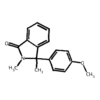 COc1ccc(C2(C)c3ccccc3C(=O)N2C)cc1